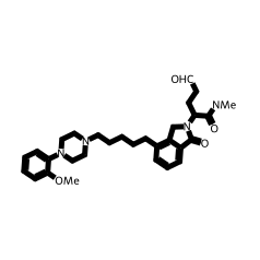 CNC(=O)C(CCC=O)N1Cc2c(CCCCCN3CCN(c4ccccc4OC)CC3)cccc2C1=O